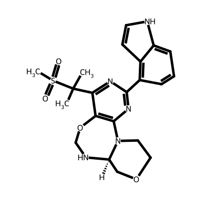 CC(C)(c1nc(-c2cccc3[nH]ccc23)nc2c1OCN[C@@H]1COCCN21)S(C)(=O)=O